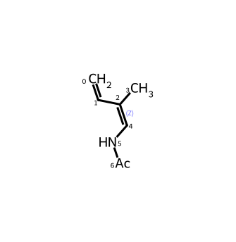 C=C/C(C)=C\NC(C)=O